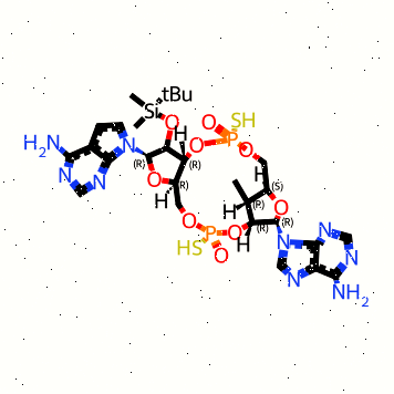 C[C@H]1[C@H]2OP(=O)(S)OC[C@H]3O[C@@H](n4ccc5c(N)ncnc54)C(O[Si](C)(C)C(C)(C)C)[C@@H]3OP(=O)(S)OC[C@H]1O[C@H]2n1cnc2c(N)ncnc21